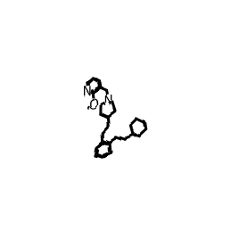 COc1ncccc1CN1CCC(CCc2ccccc2CCC2CCCCC2)CC1